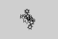 C[C@]12C[C@H](N3CCCCC3)CC[C@@H]1CC[C@@H]1[C@@H]2CC[C@]2(C)[C@@H](O)[C@@H](N3CCCCC3)C[C@@H]12